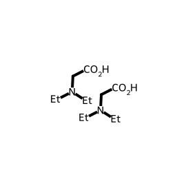 CCN(CC)CC(=O)O.CCN(CC)CC(=O)O